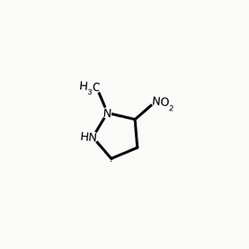 CN1N[CH]CC1[N+](=O)[O-]